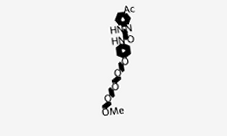 COCCOCCOCCOCCOc1ccc(NC(=O)c2nc3cc(C(C)=O)ccc3[nH]2)cc1